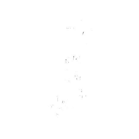 CC(O)C(C)[C@H]1CC[C@H](n2cc(NC(=O)c3n[nH]c4c3C[C@@H]3C(F)(F)[C@]3(C)C4)cn2)CC1